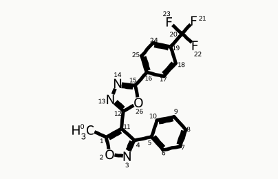 Cc1onc(-c2ccccc2)c1-c1nnc(-c2ccc(C(F)(F)F)cc2)o1